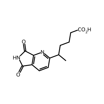 CC(CCCC(=O)O)c1ccc2c(n1)C(=O)NC2=O